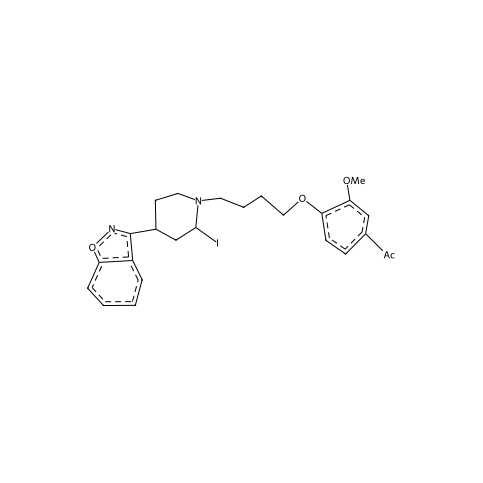 COc1cc(C(C)=O)ccc1OCCCCN1CCC(c2noc3ccccc23)CC1I